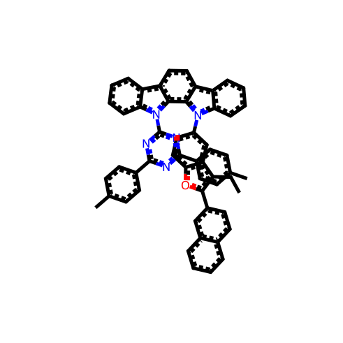 CCc1c(-c2ccc3ccccc3c2)oc2ccc(-n3c4ccccc4c4ccc5c6ccccc6n(-c6nc(-c7ccc(C)cc7)nc(-c7ccc(C)cc7)n6)c5c43)cc12